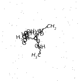 CCCCCNC(=O)CCOc1cc(CCC[C@H]2C[C@]3(C)[C@@H](O)CC[C@H]3[C@@H]3CCC4CC(=O)CC[C@]4(C)[C@@H]23)cc(OCCC(=O)NCCCCC)c1